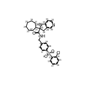 O=C(NCc1ccc(S(=O)(=O)c2ccccc2Cl)cc1)C1(C2CCCCCC2)Cc2cnccc2N1